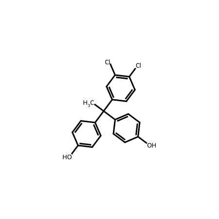 CC(c1ccc(O)cc1)(c1ccc(O)cc1)c1ccc(Cl)c(Cl)c1